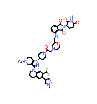 CC(=O)N1CCc2c(c(N3CCCc4cc(-c5cnn(C)c5)c(C(F)F)cc43)nn2C2CCN(C(=O)CN3CCOC(CNc4cccc5c4C(=O)N(C4CCC(=O)NC4=O)C5=O)C3)CC2)C1